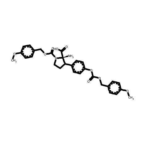 COc1ccc(COC(=O)Oc2ccc(C3CCN(C(=O)OCc4ccc(OC)cc4)[C@]3(N)C(=O)O)cc2)cc1